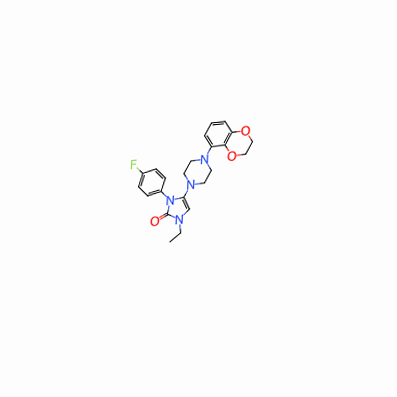 CCn1cc(N2CCN(c3cccc4c3OCCO4)CC2)n(-c2ccc(F)cc2)c1=O